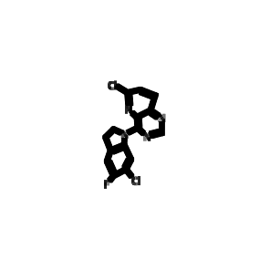 Fc1cc2c(cc1Cl)N(c1ncnc3ccc(Cl)nc13)CC2